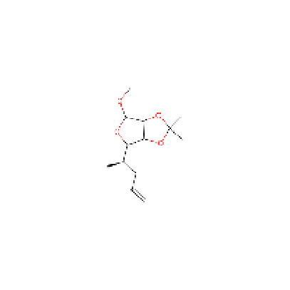 C=CC[C@@H](C)C1OC(OC)C2OC(C)(C)OC21